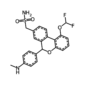 CNc1ccc(C2Oc3cccc(OC(F)F)c3-c3ccc(CS(N)(=O)=O)cc32)cc1